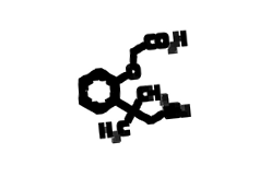 CC(C)(C)CC(C)(C)c1ccccc1OCC(=O)O